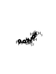 Cc1cc(Oc2cccc(F)c2F)ccc1-n1ncc(C(=O)c2cc3cc(NS(C)(=O)=O)c(F)cc3[nH]2)c1N